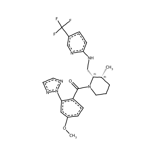 COc1ccc(C(=O)N2CCC[C@@H](C)[C@H]2CNc2ccc(C(F)(F)F)cn2)c(-n2nccn2)c1